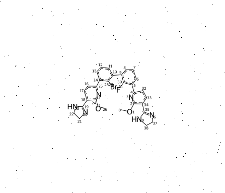 COc1nc(-c2cccc(-c3cccc(-c4ccc(C5=NCCN5)c(OC)n4)c3Br)c2F)ccc1C1=NCCN1